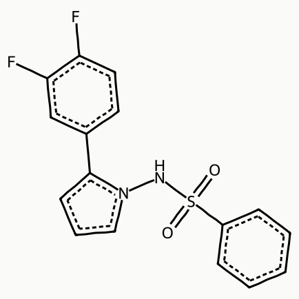 O=S(=O)(Nn1cccc1-c1ccc(F)c(F)c1)c1ccccc1